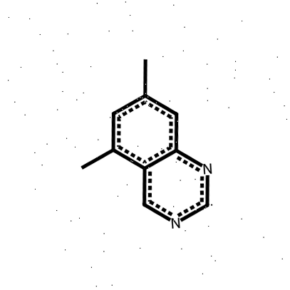 Cc1cc(C)c2cn[c]nc2c1